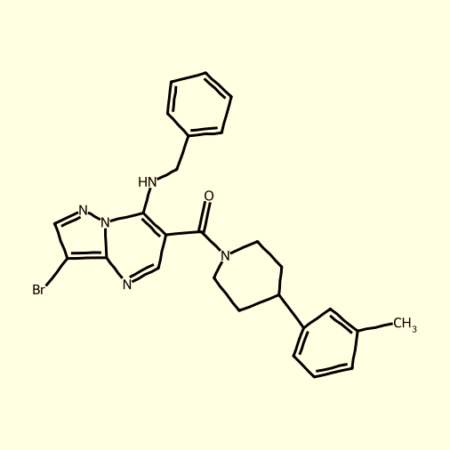 Cc1cccc(C2CCN(C(=O)c3cnc4c(Br)cnn4c3NCc3ccccc3)CC2)c1